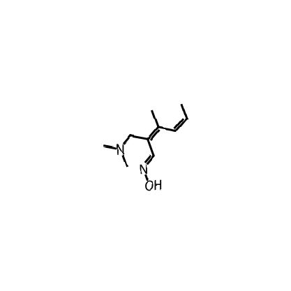 C\C=C/C(C)=C(\C=N\O)CN(C)C